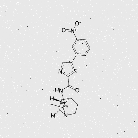 C[C@H]1[C@H](NC(=O)c2ncc(-c3cccc([N+](=O)[O-])c3)s2)C2CCN1CC2